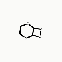 C1COC2OOC2O1